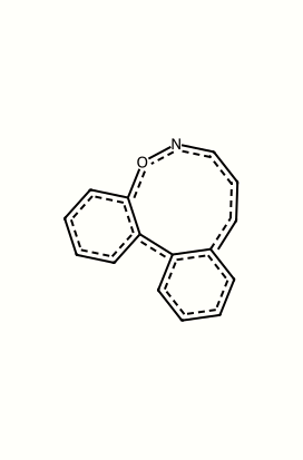 c1ccc2c(c1)cccnoc1ccccc12